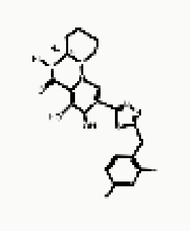 CCN1C(=O)C2=C(O)C(O)C(c3nnc(Cc4ccc(F)cc4F)s3)=CN2N2CCCC[C@H]12